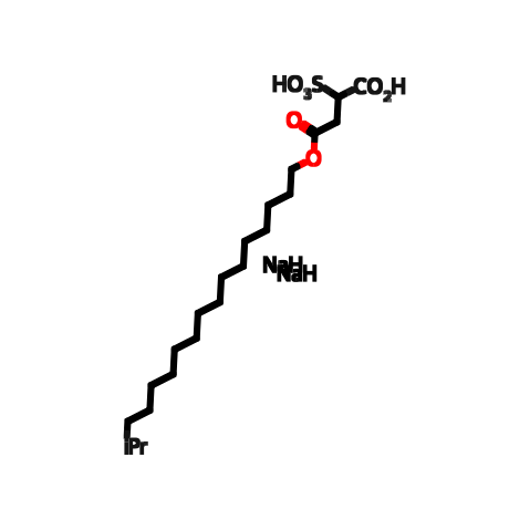 CC(C)CCCCCCCCCCCCCCCOC(=O)CC(C(=O)O)S(=O)(=O)O.[NaH].[NaH]